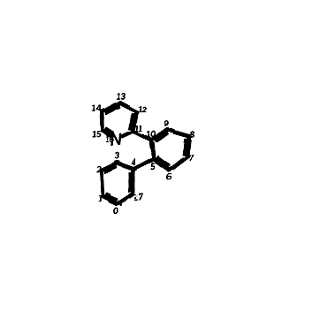 [c]1cccc(-c2ccccc2-c2ccccn2)c1